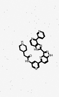 O=C(CC1CCNCC1)Nc1cncc(-c2ccc3[nH]nc(-c4nc5c(-c6cccnc6)nccc5[nH]4)c3n2)c1